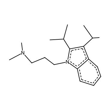 CC(C)c1c(C(C)C)n(CCCN(C)C)c2ccccc12